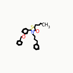 CCCCC1SC(c2cccc(OCc3ccccc3)c2)N(CCCCc2ccccc2)C1=O